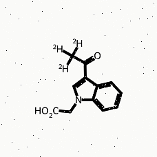 [2H]C([2H])([2H])C(=O)c1cn(CC(=O)O)c2ccccc12